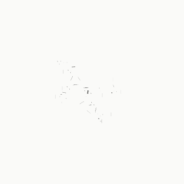 COC(=O)Nc1ccc2c(c1)NC(=O)C(C)(C)CC/C=C(/c1ccc(B(O)O)cn1)c1nc-2c(C)n1COCC[Si](C)(C)C